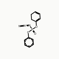 [N-]=[N+]=NP(=O)(OC1=CC=CCC1)Oc1ccccc1